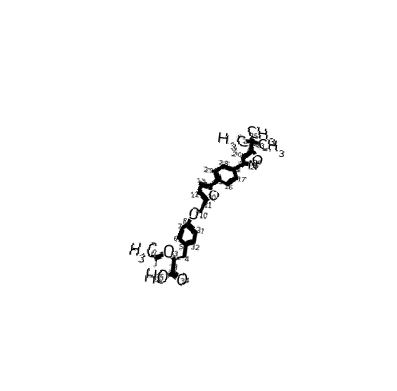 CCO[C@@H](Cc1ccc(OCc2ccc(-c3ccc(-c4cc(C(C)(C)C)on4)cc3)o2)cc1)C(=O)O